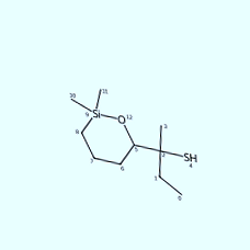 CCC(C)(S)C1CCC[Si](C)(C)O1